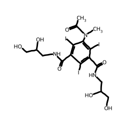 CC(=O)N(C)c1c(I)c(C(=O)NCC(O)CO)c(I)c(C(=O)NCC(O)CO)c1I